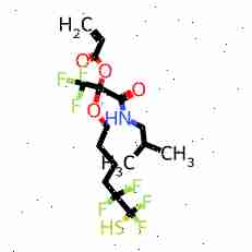 C=CC(=O)OC(OCCCCC(F)(F)C(F)(F)S)(C(=O)NCC(C)C)C(F)(F)F